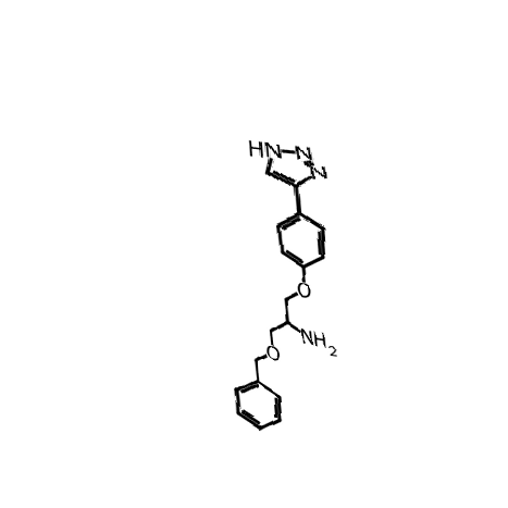 NC(COCc1ccccc1)COc1ccc(-c2c[nH]nn2)cc1